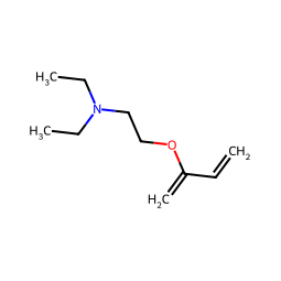 C=CC(=C)OCCN(CC)CC